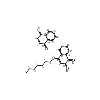 CCCCCCCOC1=CC(=O)C(=O)c2ccccc21.O=C1C=CC(=O)c2ccccc21